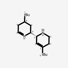 CC(C)(C)C1=C[C@H](C2CC(C(C)(C)C)CC=N2)NCC1